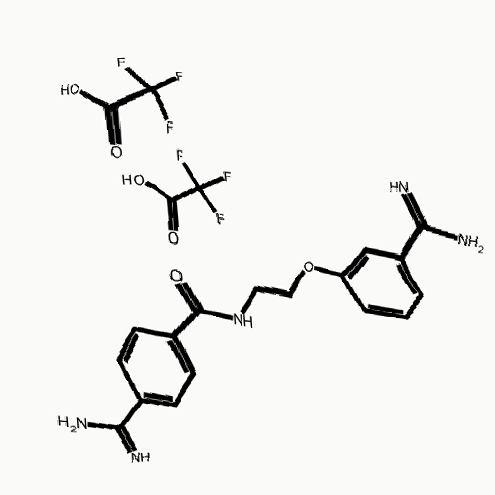 N=C(N)c1ccc(C(=O)NCCOc2cccc(C(=N)N)c2)cc1.O=C(O)C(F)(F)F.O=C(O)C(F)(F)F